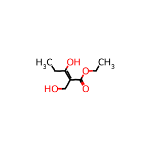 CCOC(=O)C(CO)=C(O)CC